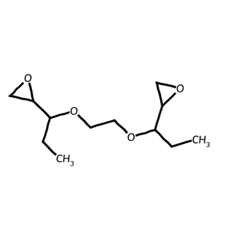 CCC(OCCOC(CC)C1CO1)C1CO1